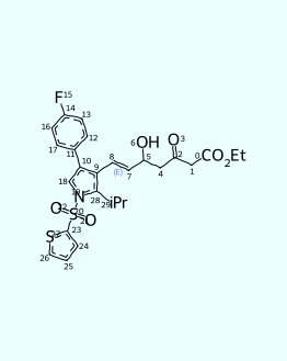 CCOC(=O)CC(=O)CC(O)/C=C/c1c(-c2ccc(F)cc2)cn(S(=O)(=O)c2cccs2)c1C(C)C